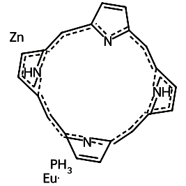 C1=Cc2cc3ccc(cc4nc(cc5ccc(cc1n2)[nH]5)C=C4)[nH]3.P.[Eu].[Zn]